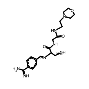 Cl.N=C(N)c1ccc(CNC(CO)C(=O)NCC(=O)NCCN2CCOCC2)cc1